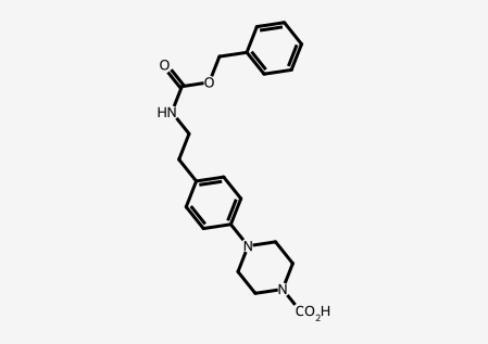 O=C(NCCc1ccc(N2CCN(C(=O)O)CC2)cc1)OCc1ccccc1